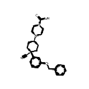 N#C[C@]1(c2cccc(OCc3ccccc3)c2)CC[C@H](N2CCN(C(=O)O)CC2)CC1